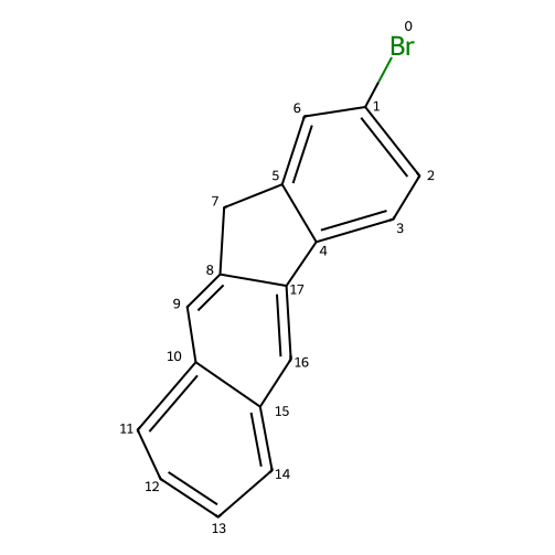 Brc1ccc2c(c1)Cc1cc3ccccc3cc1-2